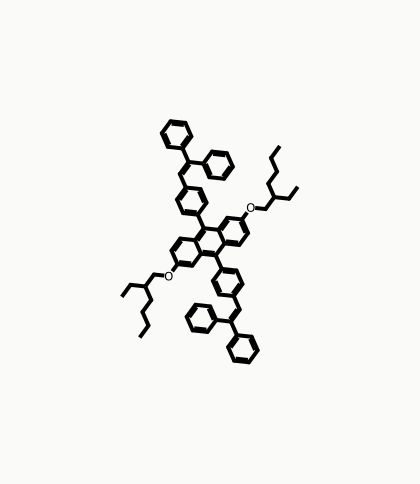 CCCCC(CC)COc1ccc2c(-c3ccc(C=C(c4ccccc4)c4ccccc4)cc3)c3cc(OCC(CC)CCCC)ccc3c(-c3ccc(C=C(c4ccccc4)c4ccccc4)cc3)c2c1